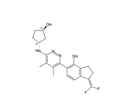 Cc1c(N[C@@H]2CC[C@@H](O)C2)nnc(-c2ccc3c(c2O)CCC3=C(F)F)c1C